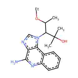 CCOC(C)C(n1cnc2c(N)nc3ccccc3c21)C(C)(C)O